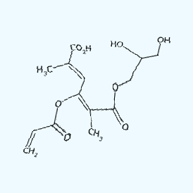 C=CC(=O)OC(C=C(C)C(=O)O)=C(C)C(=O)OCC(O)CO